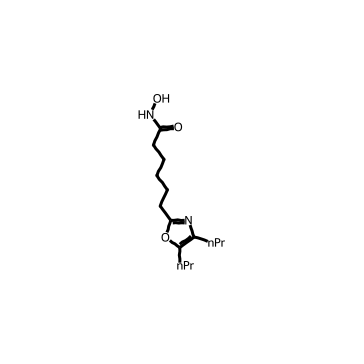 CCCc1nc(CCCCCC(=O)NO)oc1CCC